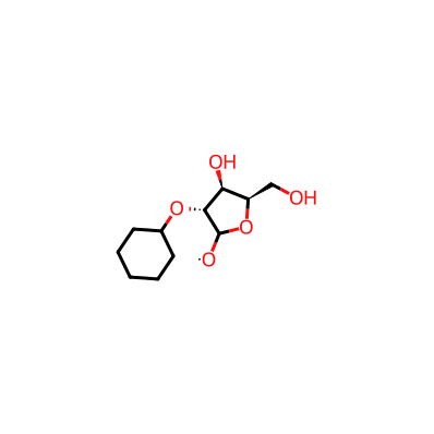 [O]C1O[C@H](CO)[C@H](O)[C@H]1OC1CCCCC1